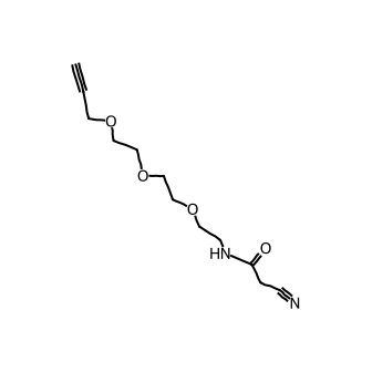 C#CCOCCOCCOCCNC(=O)CC#N